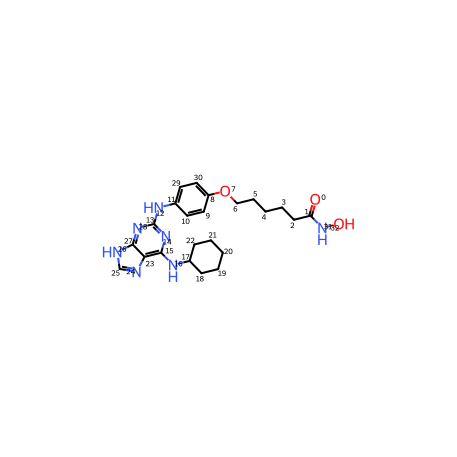 O=C(CCCCCOc1ccc(Nc2nc(NC3CCCCC3)c3nc[nH]c3n2)cc1)NO